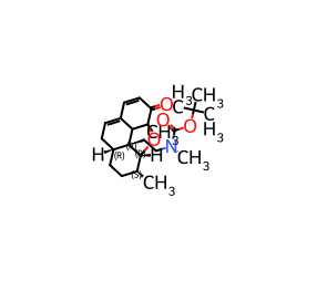 C[C@H]1CC[C@@H]2CC=C3C=CC(=O)C4(C)O[C@H]1[C@@]2(CCN(C)C(=O)OC(C)(C)C)C34